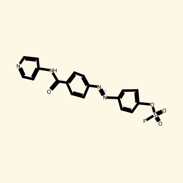 O=C(Nc1ccncc1)c1ccc(/N=N/c2ccc(OS(=O)(=O)F)cc2)cc1